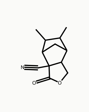 CC1C(C)C2CC1C1COC(=O)C21C#N